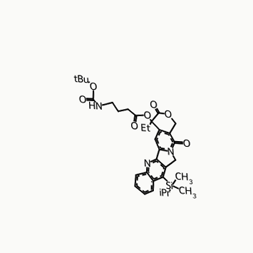 CCC1(OC(=O)CCCNC(=O)OC(C)(C)C)C(=O)OCc2c1cc1n(c2=O)Cc2c-1nc1ccccc1c2[Si](C)(C)C(C)C